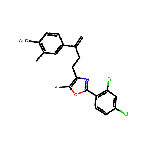 C=C(CCc1nc(-c2ccc(Cl)cc2Cl)oc1C(C)C)c1ccc(OC(C)=O)c(C)c1